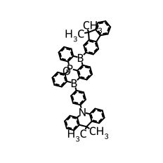 CC1(C)c2ccccc2-c2ccc(B3c4ccccc4P4(=O)c5ccccc5B(c5ccc(N6c7ccccc7C(C)(C)c7ccccc76)cc5)c5cccc3c54)cc21